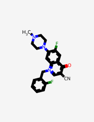 CN1CCN(c2cc3c(cc2F)c(=O)c(C#N)cn3Cc2ccccc2F)CC1